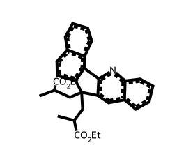 CCOC(=O)C(C)CC1(CC(C)C(=O)OCC)c2cc3ccccc3nc2-c2c1ccc1ccccc21